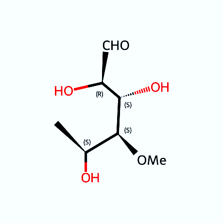 CO[C@H]([C@@H](O)[C@@H](O)C=O)[C@H](C)O